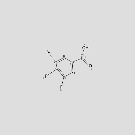 O=[PH](O)c1cc(F)c(F)c(F)c1